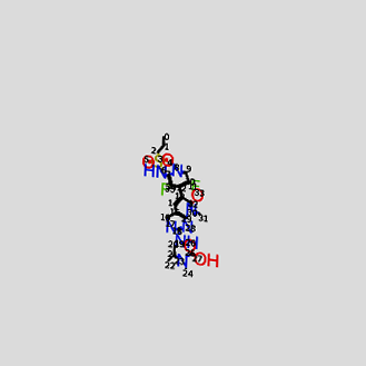 CCCS(=O)(=O)Nc1ncc(F)c(-c2cc3cnc(NC[C@H](C)N(C)C(=O)O)nc3n(C)c2=O)c1F